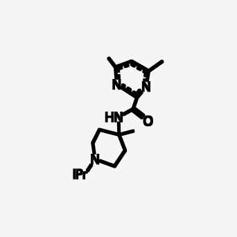 Cc1cc(C)nc(C(=O)NC2(C)CCN(C(C)C)CC2)n1